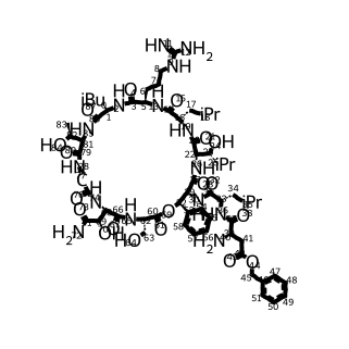 CC[C@H](C)C1NC(=O)[C@@H](CCCNC(=N)N)NC(=O)[C@H](CC(C)C)NC(=O)[C@H]([C@H](O)C(C)C)NC(=O)[C@@H](NC(=O)[C@H](CC(C)C)NC(=O)[C@H](N)CC(=O)OCc2ccccc2)[C@@H](c2ccccc2)OC(=O)[C@H](CO)NC(=O)[C@H]([C@H](O)C(N)=O)NC(=O)CNC(=O)C([C@H](C)O)NC1=O